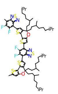 Cc1cc2c(s1)-c1sc(-c3c(F)c(F)c(-c4cc5c(s4)-c4sc(-c6c(F)c(F)c(C)c7nsnc67)cc4C(CCC(C)CCCC(C)C)(CCC(C)CCCC(C)C)O5)c4nsnc34)cc1C(CCC(C)CCCC(C)C)(CCC(C)CCCC(C)C)O2